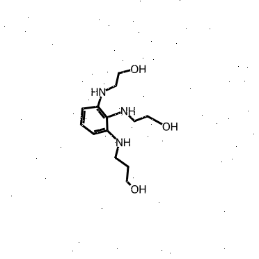 OCCCNc1cccc(NCCO)c1NCCO